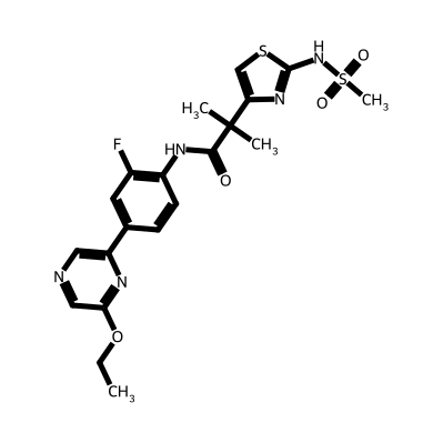 CCOc1cncc(-c2ccc(NC(=O)C(C)(C)c3csc(NS(C)(=O)=O)n3)c(F)c2)n1